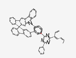 C=C/C(=C\C=C/C)c1nc(-c2ccccc2)nc(-c2cccc(-c3ccc4c(c3)C3(c5ccccc5-4)c4ccccc4-c4cc5c6ccccc6n(-c6ccccc6)c5cc43)c2)n1